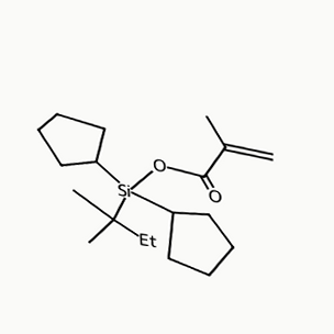 C=C(C)C(=O)O[Si](C1CCCC1)(C1CCCC1)C(C)(C)CC